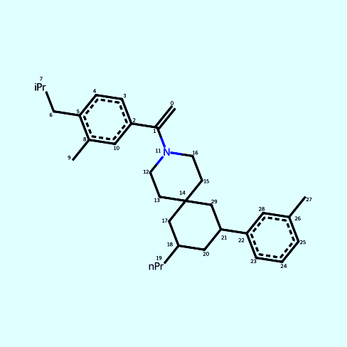 C=C(c1ccc(CC(C)C)c(C)c1)N1CCC2(CC1)CC(CCC)CC(c1cccc(C)c1)C2